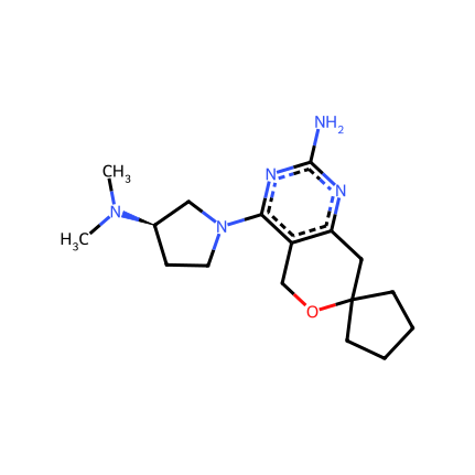 CN(C)[C@@H]1CCN(c2nc(N)nc3c2COC2(CCCC2)C3)C1